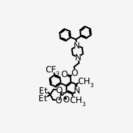 CCC1(CC)COP(=O)(c2c(C)nc(C)c(C(=O)OCCN3CCN(C(c4ccccc4)c4ccccc4)CC3)c2-c2cccc(C(F)(F)F)c2)OC1